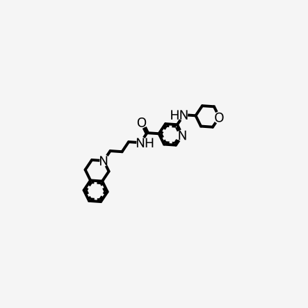 O=C(NCCCN1CCc2ccccc2C1)c1ccnc(NC2CCOCC2)c1